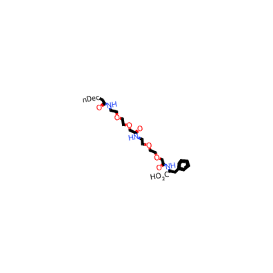 CCCCCCCCCCCC(=O)NCCOCCOCC(=O)NCCOCCOCC(=O)N[C@@H](Cc1ccccc1)C(=O)O